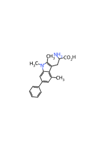 Cc1cc(-c2ccccc2)cc2c1c(CC(N)C(=O)O)c(C)n2C